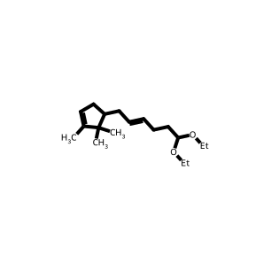 CCOC(CCC=CCC1CC=C(C)C1(C)C)OCC